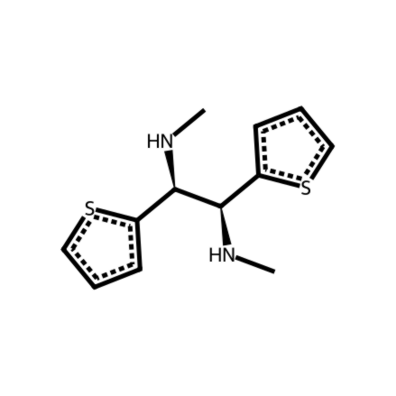 CN[C@H](c1cccs1)[C@H](NC)c1cccs1